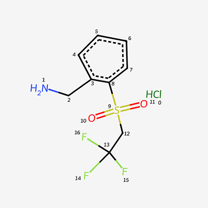 Cl.NCc1ccccc1S(=O)(=O)CC(F)(F)F